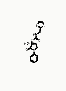 O=C(NCc1nccs1)O[C@@]1(O)CCN(c2ccccc2)C1=O